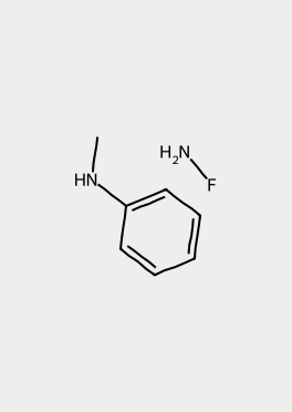 CNc1ccccc1.NF